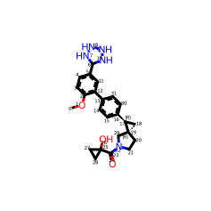 COc1ccc(C2NNNN2)cc1-c1ccc([C@H]2C[C@@]23CCN(C(=O)C2(O)CC2)C3)cc1